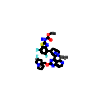 CC(C)(C)OC(=O)Nc1nc2c(C3CC4CN(C(=O)O)C(c5nc(OC[C@@]67CCCN6C[C@H](F)C7)nc6ccncc56)C3N4F)c(F)cc(F)c2s1